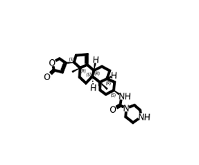 C[C@]12CC[C@H](NC(=O)N3CCNCC3)C[C@H]1CC[C@H]1C3=CC[C@H](C4=CC(=O)OC4)[C@@]3(C)CC[C@@H]12